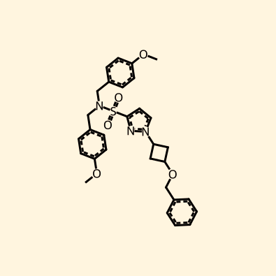 COc1ccc(CN(Cc2ccc(OC)cc2)S(=O)(=O)c2ccn(C3CC(OCc4ccccc4)C3)n2)cc1